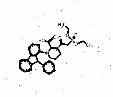 CCOP(=O)(CC(=O)[C@H]1CCCN(c2cccc3c2C(c2ccccc2)c2ccccc2-3)C1C(=O)O)OCC